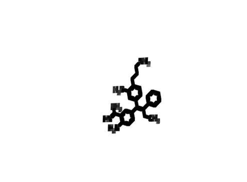 BC(=N)c1cc(/C(=C(\CC)c2ccccc2)c2ccc(CCCN)c(B)c2)ccc1N